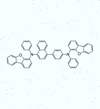 c1ccc(N(c2ccc(-c3ccc(N(c4ccccc4)c4cccc5c4oc4ccccc45)c4ccccc34)cc2)c2cccc3c2oc2ccccc23)cc1